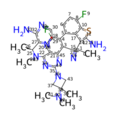 CC#Cc1c(-c2ccc(F)c3sc(N)c(C#N)c23)c(F)cc2c(N(C)[C@@H](C)c3nccnc3N)nc(N3CC(C)(N(C)C)C3)nc12